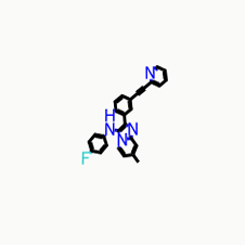 Cc1ccn2c(Nc3ccc(F)cc3)c(-c3cccc(C#Cc4ccccn4)c3)nc2c1